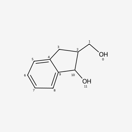 OCC1Cc2ccccc2C1O